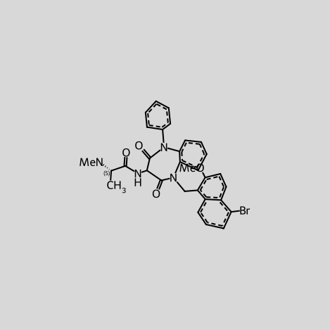 CN[C@@H](C)C(=O)NC1C(=O)N(Cc2c(OC)ccc3c(Br)cccc23)c2ccccc2N(c2ccccc2)C1=O